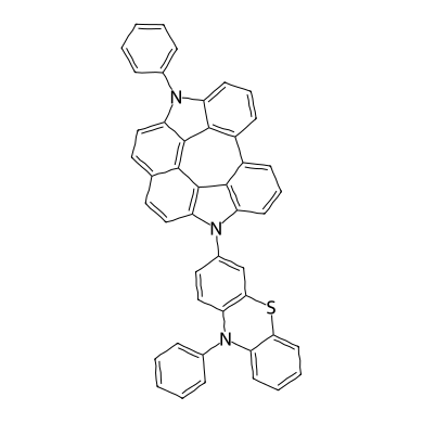 c1ccc(N2c3ccccc3Sc3cc(-n4c5cccc6c5c5c7c(ccc8c7c7c-6cccc7n8-c6ccccc6)ccc54)ccc32)cc1